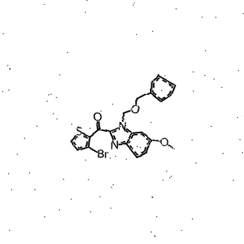 COc1ccc2nc(C(=O)c3sccc3Br)n(COCc3ccccc3)c2c1